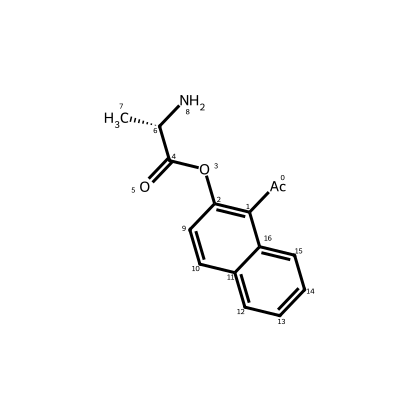 CC(=O)c1c(OC(=O)[C@H](C)N)ccc2ccccc12